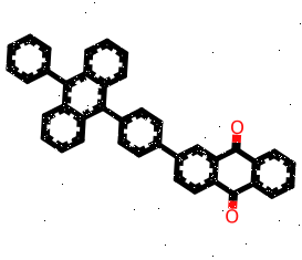 O=C1c2ccccc2C(=O)c2cc(-c3ccc(-c4c5ccccc5c(-c5ccccc5)c5ccccc45)cc3)ccc21